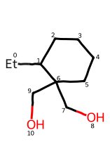 CCC1CCCCC1(CO)CO